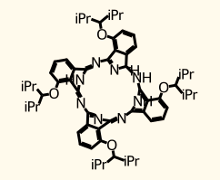 CC(C)C(Oc1cccc2c1C1=N[C@H]2Nc2[nH]c(c3cccc(OC(C(C)C)C(C)C)c23)/N=C2N=C(/N=c3\[nH]/c(c4cccc(OC(C(C)C)C(C)C)c34)=N\1)c1cccc(OC(C(C)C)C(C)C)c1\2)C(C)C